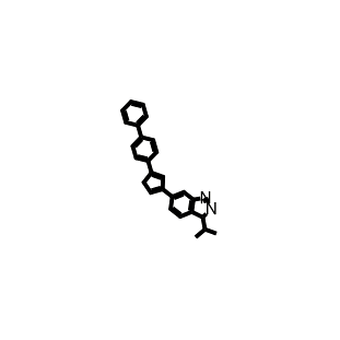 CC(C)C1N=Nc2cc(C3=CCC(c4ccc(-c5ccccc5)cc4)=C3)ccc21